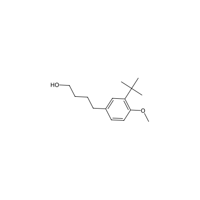 COc1ccc(CCCCO)cc1C(C)(C)C